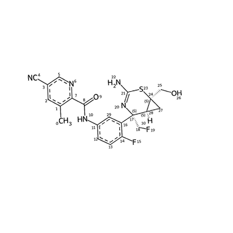 Cc1cc(C#N)cnc1C(=O)Nc1ccc(F)c([C@@]2(CF)N=C(N)S[C@@]3(CO)C[C@H]32)c1